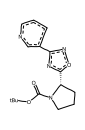 CC(C)(C)OC(=O)N1CCC[C@H]1c1nc(-c2cccnc2)no1